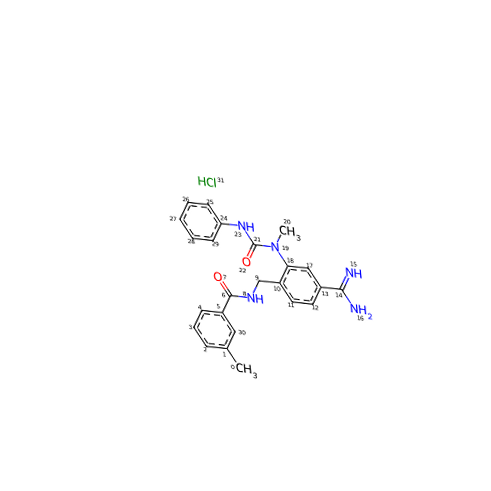 Cc1cccc(C(=O)NCc2ccc(C(=N)N)cc2N(C)C(=O)Nc2ccccc2)c1.Cl